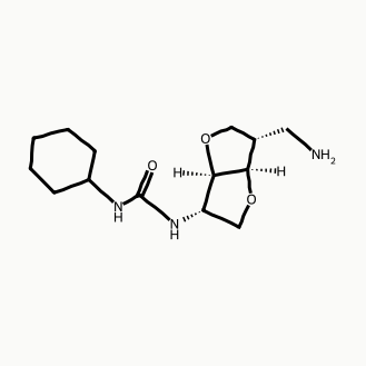 NC[C@H]1CO[C@H]2[C@@H]1OC[C@@H]2NC(=O)NC1CCCCC1